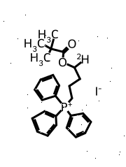 [2H]C(CCC[P+](c1ccccc1)(c1ccccc1)c1ccccc1)OC(=O)C(C)(C)C.[I-]